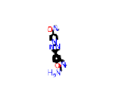 CN(C)C(=O)C1CCN(c2ncc(-c3cccc(CN(C)C(=O)CN)c3)cn2)CC1